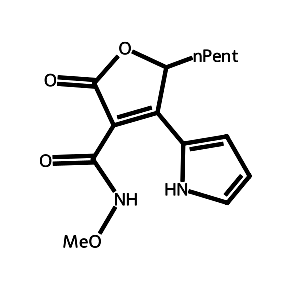 CCCCCC1OC(=O)C(C(=O)NOC)=C1c1ccc[nH]1